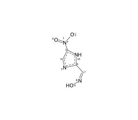 O=[N+]([O-])c1cnc(/C=N\O)[nH]1